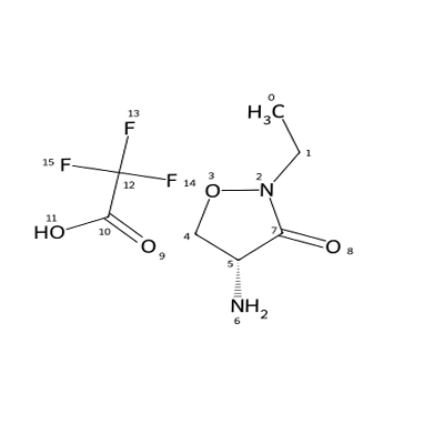 CCN1OC[C@@H](N)C1=O.O=C(O)C(F)(F)F